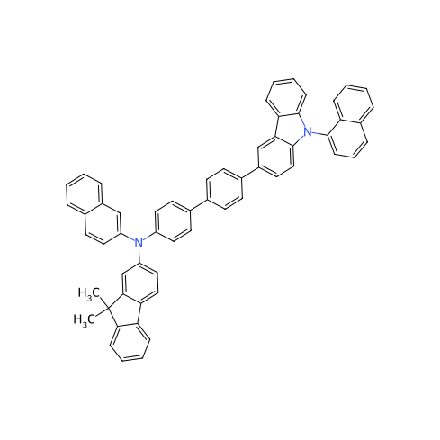 CC1(C)c2ccccc2-c2ccc(N(c3ccc(-c4ccc(-c5ccc6c(c5)c5ccccc5n6-c5cccc6ccccc56)cc4)cc3)c3ccc4ccccc4c3)cc21